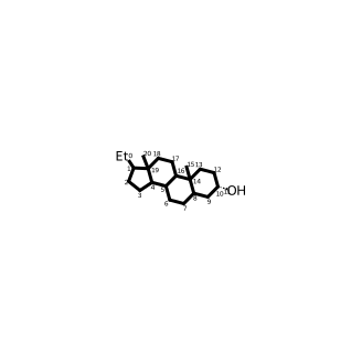 CCC1CCC2C3CCC4C[C@@H](O)CCC4(C)C3CCC12C